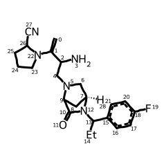 C=C(C(N)CN1C[C@@H]2CC1C(=O)N2C(CC)c1ccc(F)cc1)N1CCCC1C#N